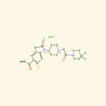 CNC(=O)c1cc2c(cc1F)N(C1CCN(CC(=O)N3CCC(C)(C)CC3)CC1)C(=O)C2.Cl